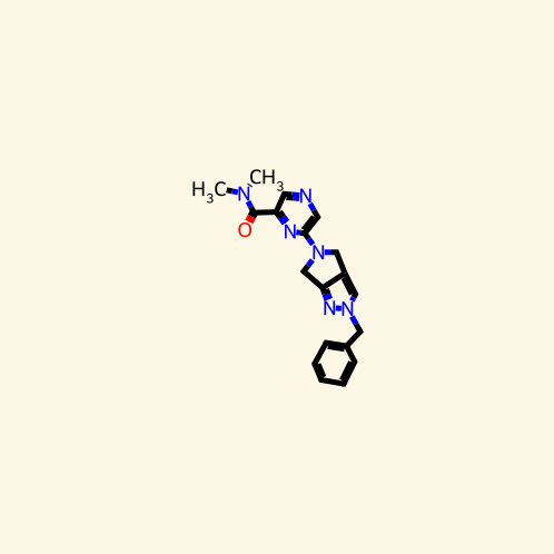 CN(C)C(=O)c1cncc(N2Cc3cn(Cc4ccccc4)nc3C2)n1